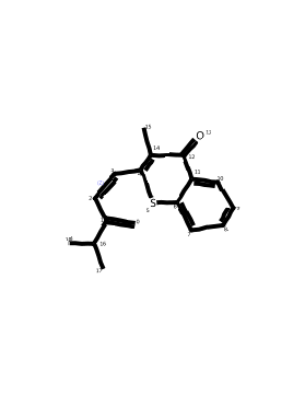 C=C(/C=C\c1sc2ccccc2c(=O)c1C)C(C)C